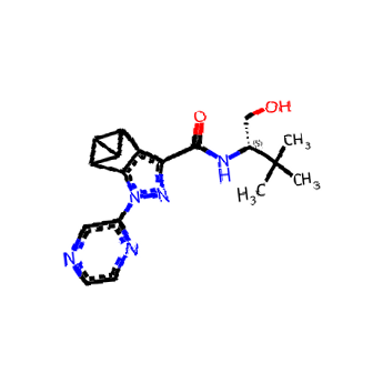 CC(C)(C)[C@@H](CO)NC(=O)c1nn(-c2cnccn2)c2c1C1C3C2C13